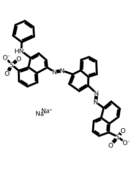 O=S(=O)([O-])c1cccc2c(/N=N/c3ccc(/N=N/c4ccc(Nc5ccccc5)c5c(S(=O)(=O)[O-])cccc45)c4ccccc34)cccc12.[Na+].[Na+]